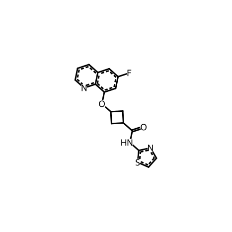 O=C(Nc1nccs1)C1CC(Oc2cc(F)cc3cccnc23)C1